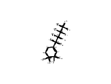 FC(F)(F)C(F)(F)C(F)(F)C(F)(F)C1=CC(F)(F)C(F)(F)CC1